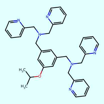 CC(C)Oc1cc(CN(Cc2ccccn2)Cc2ccccn2)cc(CN(Cc2ccccn2)Cc2ccccn2)c1